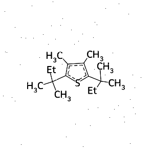 CCC(C)(C)c1sc(C(C)(C)CC)c(C)c1C